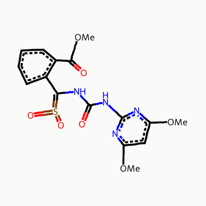 COC(=O)c1ccccc1C(NC(=O)Nc1nc(OC)cc(OC)n1)=S(=O)=O